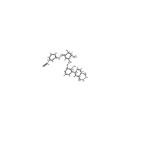 Cc1cc(Cl)c(OCc2cccc(-c3ccc4c(c3)OCCO4)c2C)cc1OCc1cccc(C#N)c1